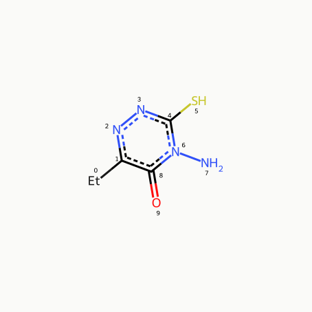 CCc1nnc(S)n(N)c1=O